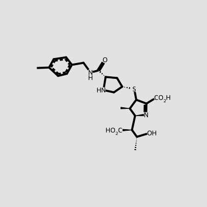 Cc1ccc(CNC(=O)[C@@H]2C[C@H](SC3C(C(=O)O)=N[C@@H]([C@H](C(=O)O)[C@@H](C)O)[C@H]3C)CN2)cc1